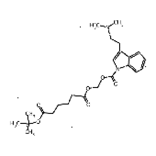 CN(C)CCc1cn(C(=O)OCOC(=O)CCCCC(=O)OC(C)(C)C)c2ccccc12